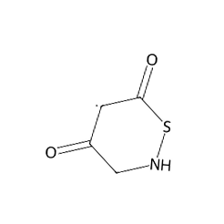 O=C1[CH]C(=O)SNC1